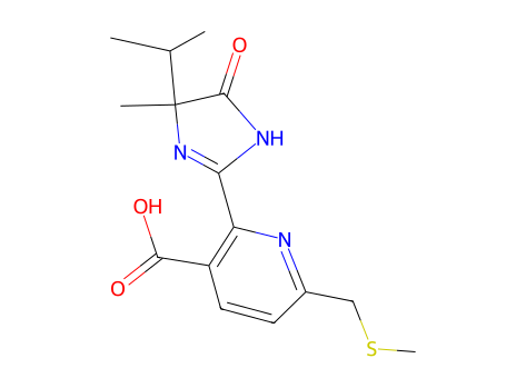 CSCc1ccc(C(=O)O)c(C2=NC(C)(C(C)C)C(=O)N2)n1